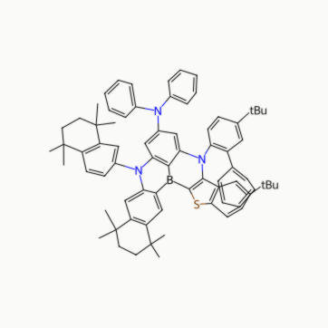 CC(C)(C)c1ccc(N2c3cc(N(c4ccccc4)c4ccccc4)cc4c3B(c3cc5c(cc3N4c3ccc4c(c3)C(C)(C)CCC4(C)C)C(C)(C)CCC5(C)C)c3sc4ccc(C(C)(C)C)cc4c32)c(-c2ccccc2)c1